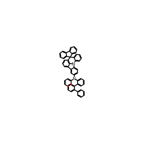 c1ccc(-c2ccccc2-c2ccccc2N(c2ccccc2)c2ccc3c(c2)c2cccc4c2n3-c2ccccc2C42c3ccccc3-c3ccccc32)cc1